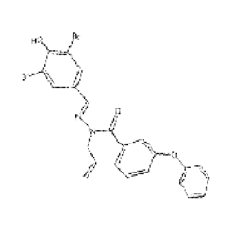 C=CCN(N=Cc1cc(Br)c(O)c(Br)c1)C(=O)c1cccc(Oc2ccccc2)c1